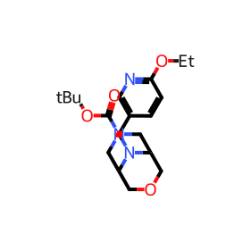 CCOc1ccc(CN2C3COCC2CN(C(=O)OC(C)(C)C)C3)cn1